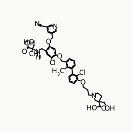 Cc1c(COc2cc(OCc3cncc(C#N)c3)c(CNC(C)(CO)C(=O)O)cc2Cl)cccc1-c1cccc(OCCCN2CCC(CO)(C(=O)O)C2)c1Cl